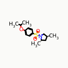 CC(C)Oc1ccc(S(=O)(=O)N2C[C@@H](C)C[C@@H]2C)cc1